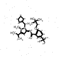 CC(C)c1c/c(=N\C(=O)c2cc(C(F)(F)F)ccc2OCC(C)(C)O)n(CC2CCCC2)n1C